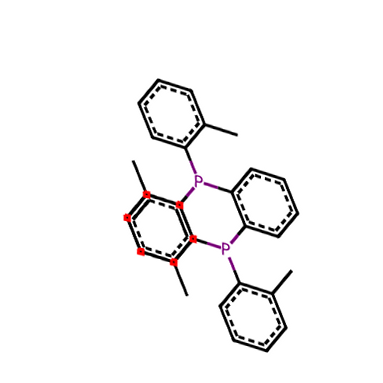 Cc1ccccc1P(C1=CC=CCC1C)c1ccccc1P(c1ccccc1C)c1ccccc1C